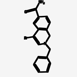 NC(=O)c1ccc2c(c1)C(Br)=CN(Cc1ccccc1)C2